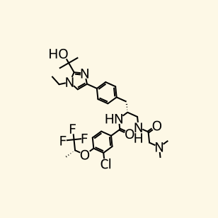 CCn1cc(-c2ccc(C[C@H](CNC(=O)CN(C)C)NC(=O)c3ccc(O[C@H](C)C(F)(F)F)c(Cl)c3)cc2)nc1C(C)(C)O